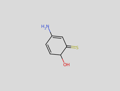 NC1=CC(=S)C(O)C=C1